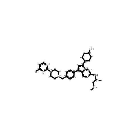 COC[C@H](C)Nc1ncc2c(-c3ccc(CN4CCN(c5nccc(C)n5)CC4)cc3)cc(C3CCC(O)CC3)n2n1